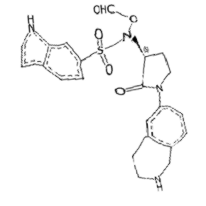 O=CON([C@H]1CCN(c2ccc3c(c2)CCNC3)C1=O)S(=O)(=O)c1ccc2cc[nH]c2c1